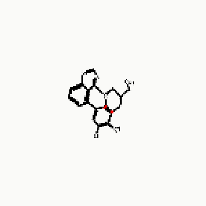 OCC1CCCN(c2ncnc3cccc(-c4ccc(Cl)c(Cl)c4)c23)C1